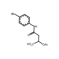 CC(=O)OC(CC(=O)Nc1ccc(C(C)(C)C)cc1)C(=O)O